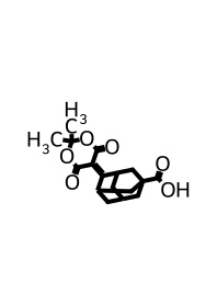 CC1(C)OC(=O)C(=C2C3CC4CC2CC(C(=O)O)(C4)C3)C(=O)O1